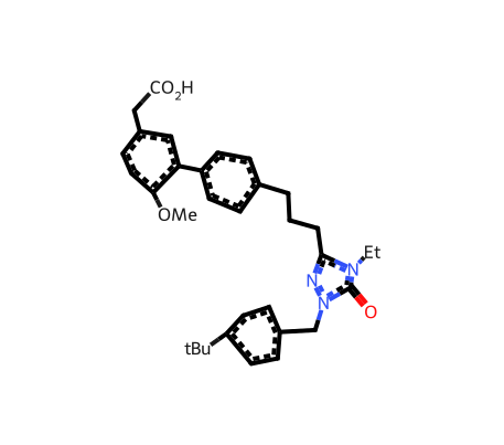 CCn1c(CCCc2ccc(-c3cc(CC(=O)O)ccc3OC)cc2)nn(Cc2ccc(C(C)(C)C)cc2)c1=O